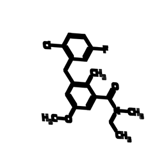 CCN(C)C(=O)c1cc(OC)cc(Cc2cc(F)ccc2Cl)c1C